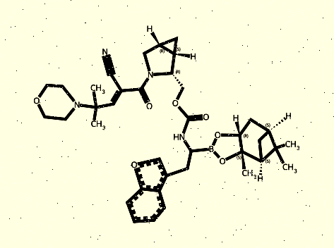 CC1(C)[C@@H]2C[C@H]3OB(C(Cc4coc5ccccc45)NC(=O)OC[C@H]4[C@H]5C[C@H]5CN4C(=O)C(C#N)=CC(C)(C)N4CCOCC4)O[C@@]3(C)[C@H]1C2